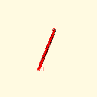 OCCOCCOCCOCCOCCOCCOCCOCCOCCOCCOCCOCCOCCOCCOCCOCCOCCOCCOCCOCCSCCSCC1CO1